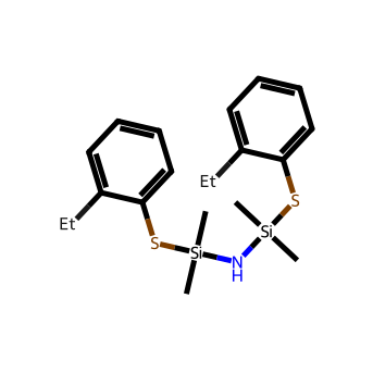 CCc1ccccc1S[Si](C)(C)N[Si](C)(C)Sc1ccccc1CC